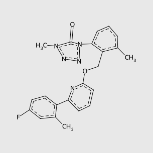 Cc1cc(F)ccc1-c1cccc(OCc2c(C)cccc2-n2nnn(C)c2=O)n1